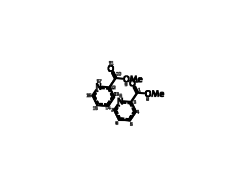 COC(=O)c1ccccn1.COC(=O)c1ccccn1